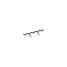 CCCC(Cl)CCCC(Cl)CCC